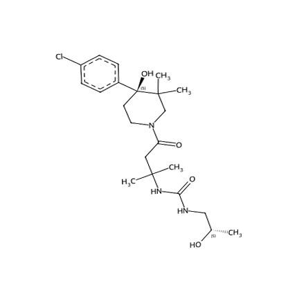 C[C@H](O)CNC(=O)NC(C)(C)CC(=O)N1CC[C@](O)(c2ccc(Cl)cc2)C(C)(C)C1